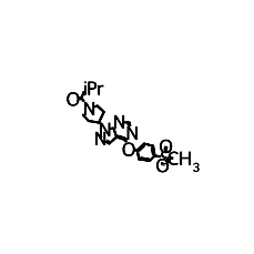 CC(C)C(=O)N1CCC(n2ncc3c(Oc4ccc(S(C)(=O)=O)cc4)ncnc32)CC1